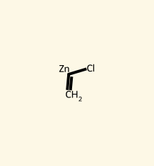 C=CCl.[Zn]